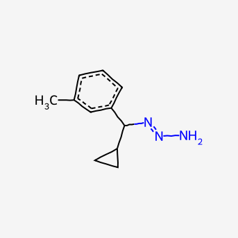 Cc1cccc(C(N=NN)C2CC2)c1